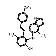 COc1ccc(C=Cc2c(C)ncc(C#N)c2Nc2ccc3[nH]ccc3c2C)cc1